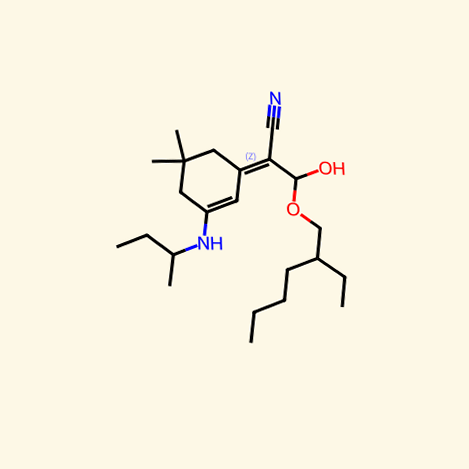 CCCCC(CC)COC(O)/C(C#N)=C1\C=C(NC(C)CC)CC(C)(C)C1